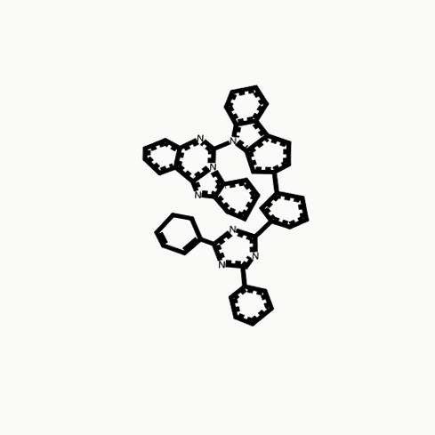 C1=CCCC(c2nc(-c3ccccc3)nc(-c3cccc(-c4ccc5c6ccccc6n(-c6nc7ccccc7c7nc8ccccc8n67)c5c4)c3)n2)=C1